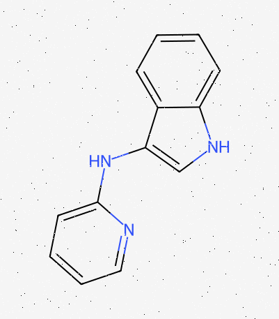 c1ccc(Nc2c[nH]c3ccccc23)nc1